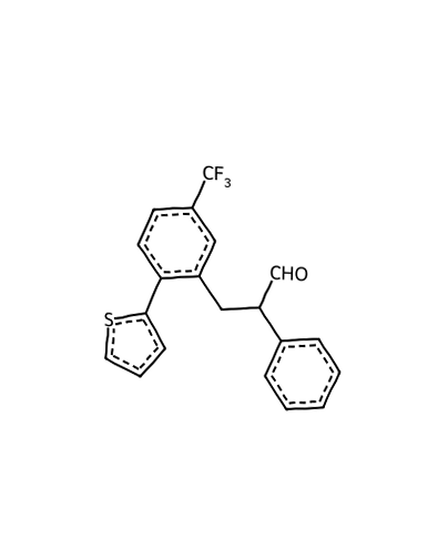 O=CC(Cc1cc(C(F)(F)F)ccc1-c1cccs1)c1ccccc1